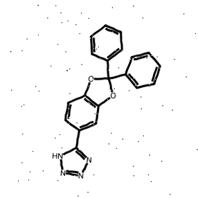 c1ccc(C2(c3ccccc3)Oc3ccc(-c4nnn[nH]4)cc3O2)cc1